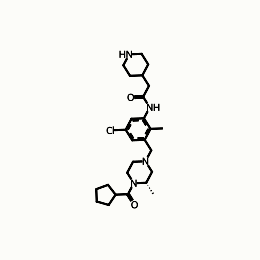 Cc1c(CN2CCN(C(=O)C3CCCC3)[C@@H](C)C2)cc(Cl)cc1NC(=O)CC1CCNCC1